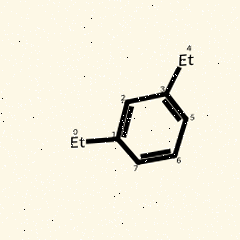 CCc1[c]c(CC)ccc1